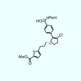 CCCCC[C@H](O)c1ccc(C2=C(Cl)CC[C@@H]2CCCc2ccc(C(=O)OC)s2)cc1